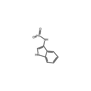 O=[SH](=O)Nc1c[nH]c2ccccc12